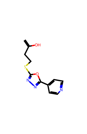 C=C(O)CCSc1nnc(-c2ccncc2)o1